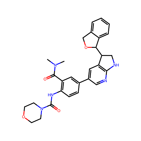 CN(C)C(=O)c1cc(-c2cnc3c(c2)C(C2OCc4ccccc42)CN3)ccc1NC(=O)N1CCOCC1